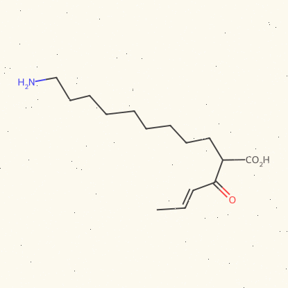 CC=CC(=O)C(CCCCCCCCCN)C(=O)O